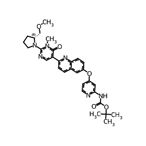 COC[C@H]1CCCN1c1ncc(-c2ccc3cc(Oc4ccnc(NC(=O)OC(C)(C)C)c4)ccc3n2)c(=O)n1C